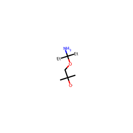 CCC(N)(CC)OCC(C)(C)[O]